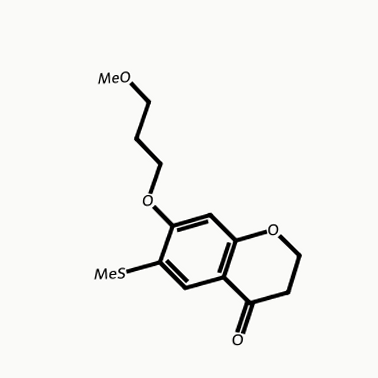 COCCCOc1cc2c(cc1SC)C(=O)CCO2